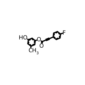 Cc1cc(O)cc(OC(=O)C#Cc2ccc(F)cc2)c1